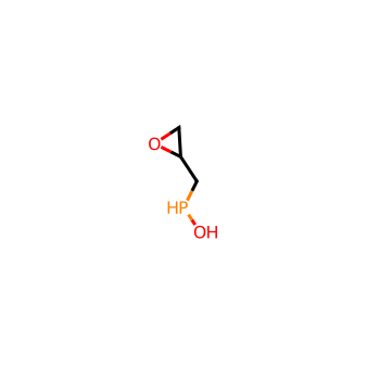 OPCC1CO1